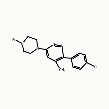 Cc1cc(N2CCN(C(C)C)CC2)nnc1-c1ccc(Cl)cc1